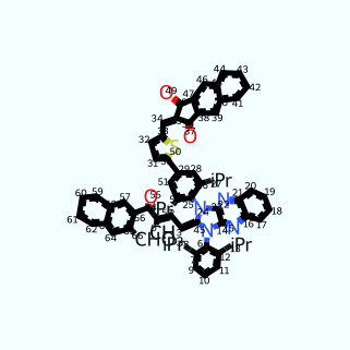 C/C(=C\C=C1\N(c2c(C(C)C)cccc2C(C)C)c2nc3ccccc3nc2N1c1c(C(C)C)cc(-c2ccc(C=C3C(=O)c4cc5ccccc5cc4C3=O)s2)cc1C(C)C)C(=O)c1cc2ccccc2cc1C=O